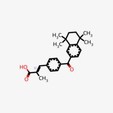 C/C(=C\c1ccc(C(=O)c2ccc3c(c2)C(C)(C)CCC3(C)C)cc1)C(=O)O